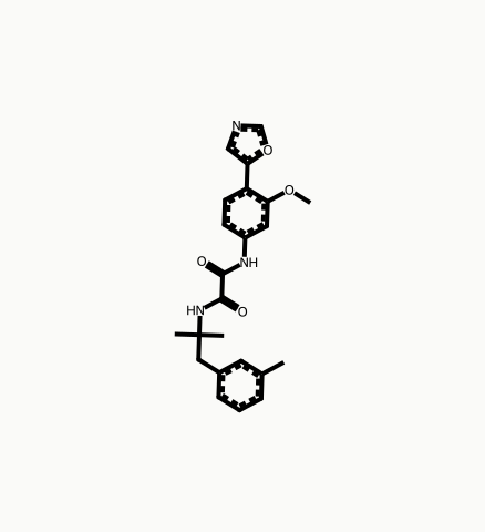 COc1cc(NC(=O)C(=O)NC(C)(C)Cc2cccc(C)c2)ccc1-c1cnco1